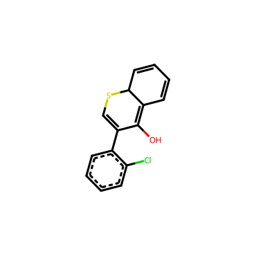 OC1=C2C=CC=CC2SC=C1c1ccccc1Cl